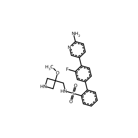 COC1(CNS(=O)(=O)c2ccccc2-c2ccc(-c3ccc(N)nc3)c(F)c2)CNC1